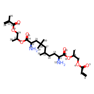 C=CC(=O)OCC(C)OC(=O)C(N)CCC(C)CC(C)(C)CC(N)C(=O)OC(C)COC(=O)C(=C)C